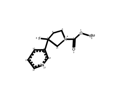 CC(C)(C)OC(=O)N1CCC(F)(c2cccnc2)C1